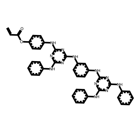 C=CC(=O)Oc1ccc(Nc2nc(Nc3ccccc3)nc(Nc3cccc(Nc4nc(Nc5ccccc5)nc(Nc5ccccc5)n4)c3)n2)cc1